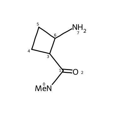 CNC(=O)C1CCC1N